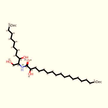 CCCCCCCCCCCCCCCCCCCCCCCCC(O)C(=O)NC(CO)C(O)CCCCCCCCCCCCCCCCC